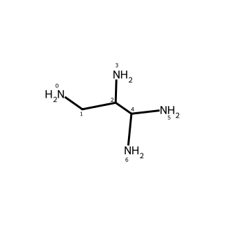 NCC(N)C(N)N